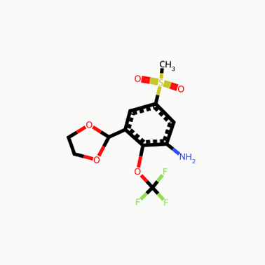 CS(=O)(=O)c1cc(N)c(OC(F)(F)F)c(C2OCCO2)c1